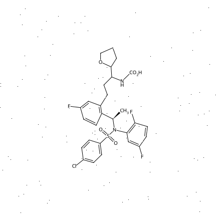 C[C@H](c1ccc(F)cc1CCC(NC(=O)O)C1CCCO1)N(c1cc(F)ccc1F)S(=O)(=O)c1ccc(Cl)cc1